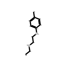 [CH2]c1ccc(OCCOCC)cc1